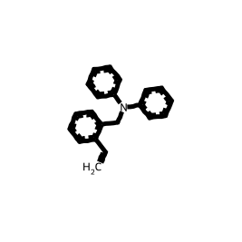 C=Cc1ccccc1CN(c1ccccc1)c1ccccc1